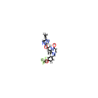 O=C1CCN(Cc2ccc(OC(F)(F)F)cc2)C[C@@H]2C[C@H](Oc3cnc(C4CC4)cn3)CN12